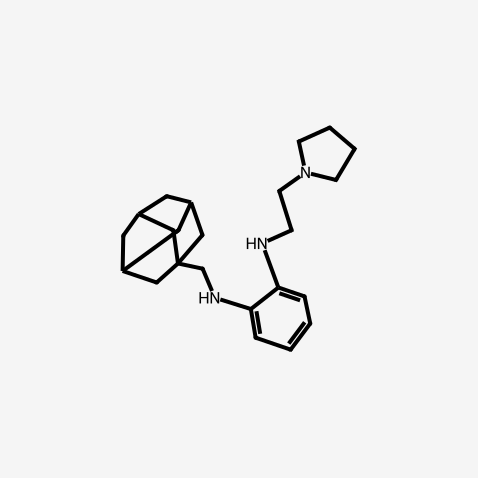 c1ccc(NCC23CC4CC(CC(C4)C2)C3)c(NCCN2CCCC2)c1